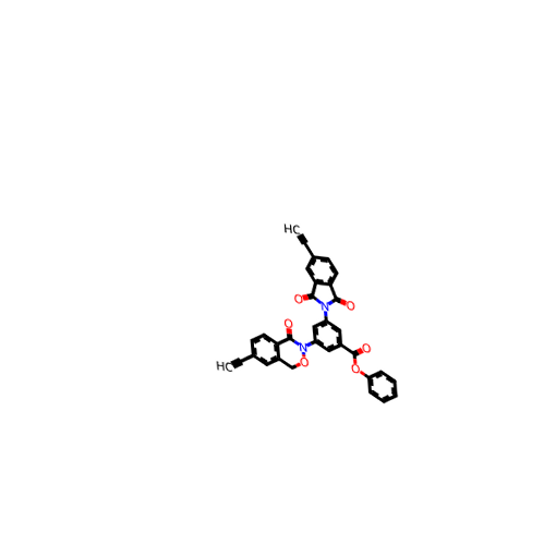 C#Cc1ccc2c(c1)CON(c1cc(C(=O)Oc3ccccc3)cc(N3C(=O)c4ccc(C#C)cc4C3=O)c1)C2=O